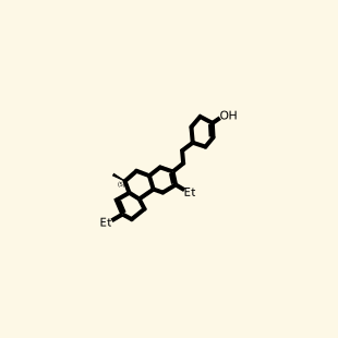 CCC1=CC2C(CC1)C1CC(CC)=C(CCC3CC=C(O)CC3)CC1C[C@@H]2C